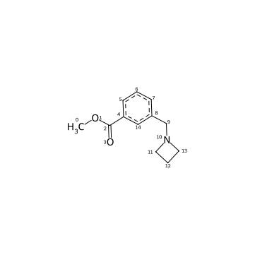 COC(=O)c1cccc(CN2CCC2)c1